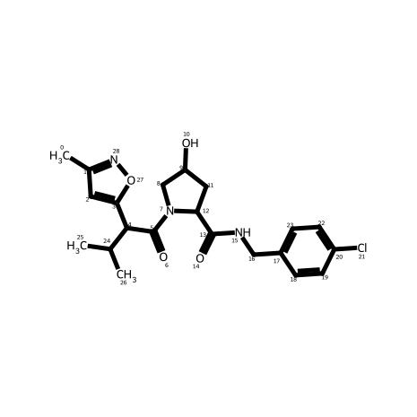 Cc1cc(C(C(=O)N2CC(O)CC2C(=O)NCc2ccc(Cl)cc2)C(C)C)on1